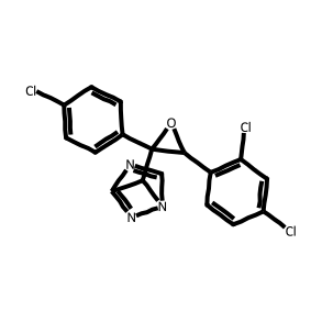 Clc1ccc(C2(C3c4ncn3n4)OC2c2ccc(Cl)cc2Cl)cc1